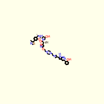 Cc1ncsc1-c1ccc([C@H](C)NC(=O)[C@@H]2C[C@@H](O)CN2C(=O)[C@@H](c2cc(OCCN3CCN(CCN4CC(c5cc6cc(-c7ccccc7O)nnc6[nH]5)C4)CC3)no2)C(C)C)cc1